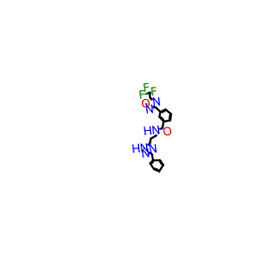 O=C(NCCc1nc(-c2ccccc2)n[nH]1)c1cccc(-c2noc(C(F)(F)F)n2)c1